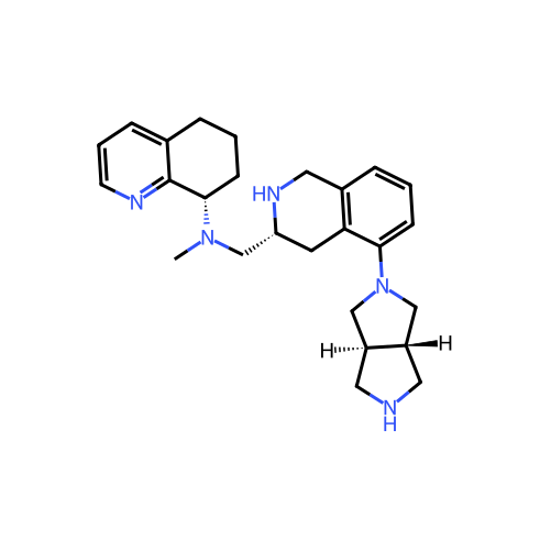 CN(C[C@H]1Cc2c(cccc2N2C[C@@H]3CNC[C@H]3C2)CN1)[C@H]1CCCc2cccnc21